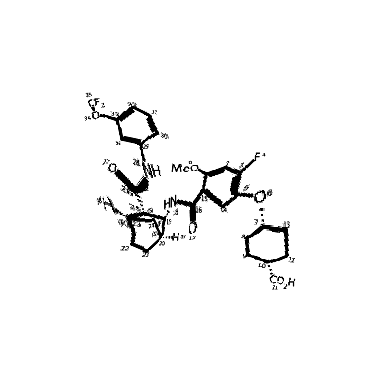 COc1cc(F)c(O[C@H]2CC[C@@H](C(=O)O)CC2)cc1C(=O)N[C@@H]1[C@H]2CC[C@H](C2)[C@@H]1C(=O)Nc1cccc(OC(F)(F)F)c1